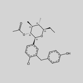 CC[C@H]1O[C@@H](c2ccc(Cl)c(Cc3ccc(O)cc3)c2)[C@H](OC(C)=O)[C@@H](C)[C@@H]1C